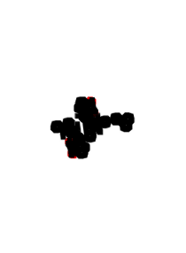 c1ccc(-c2cccc3nc(-c4cc(-c5cccc(-c6nc(-c7ccc(-c8ccc9c(c8)-c8cccc%10cccc-9c8%10)cc7)nc(-c7ccc8c(c7)C7(c9ccccc9S8)c8ccccc8-c8ccccc87)n6)c5)c5c(c4)C4(c6ccccc6S5)c5ccccc5-c5ccccc54)cnc23)cc1